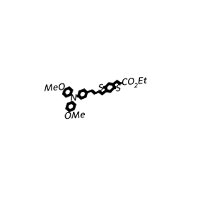 CCOC(=O)c1cc2cc3sc(/C=C/c4ccc(N(c5ccc(OC)cc5)c5ccc(OC)cc5)cc4)cc3cc2s1